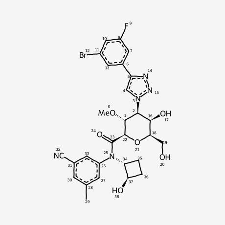 CO[C@@H]1[C@@H](n2cc(-c3cc(F)cc(Br)c3)nn2)[C@@H](O)[C@@H](CO)O[C@H]1C(=O)N(c1cc(C)cc(C#N)c1)[C@@H]1CC[C@H]1O